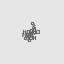 OC([C@H]1O[C@@H](c2ccc(Cl)c(Cc3ccc(-c4ccccc4)s3)c2)[C@H](O)[C@@H](O)[C@@H]1O)C(c1ccccc1)(c1ccccc1)c1ccccc1